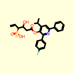 C=CC(C(O)CC(=O)Oc1c(C(C)C)cc(-c2ccccc2)nc1-c1ccc(F)cc1)[PH](=O)O